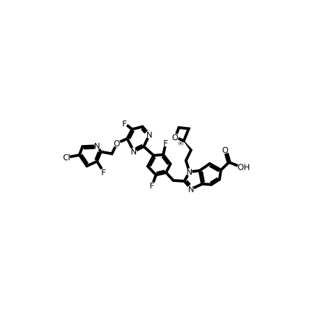 O=C(O)c1ccc2nc(Cc3cc(F)c(-c4ncc(F)c(OCc5ncc(Cl)cc5F)n4)cc3F)n(CC[C@@H]3CCO3)c2c1